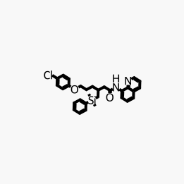 C[Si](C)(CC(CCCOc1ccc(Cl)cc1)CC(=O)Nc1cccc2cccnc12)c1ccccc1